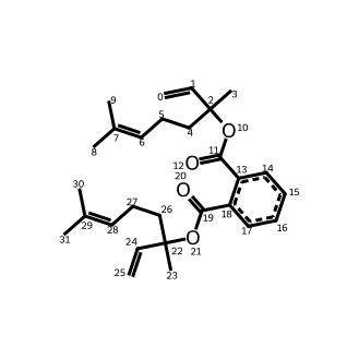 C=CC(C)(CCC=C(C)C)OC(=O)c1ccccc1C(=O)OC(C)(C=C)CCC=C(C)C